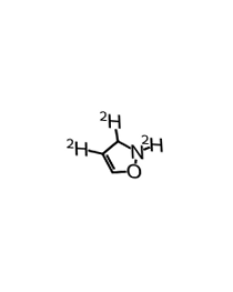 [2H]C1=CON([2H])C1[2H]